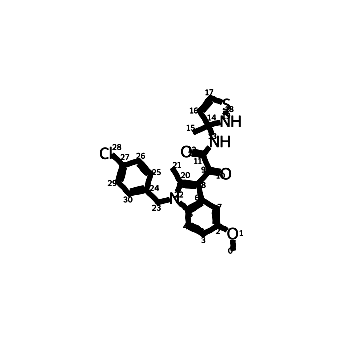 COc1ccc2c(c1)c(C(=O)C(=O)NC1(C)C=CSN1)c(C)n2Cc1ccc(Cl)cc1